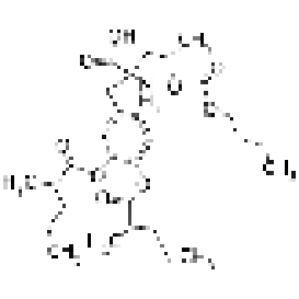 CCCCOC(=O)O[C@@H](C)CC(N)(Cc1ccc(OC(=O)C(C)CCC)c(OC(=O)C(C)CCC)c1)C(=O)O